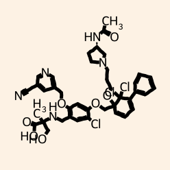 CC(=O)N[C@H]1CCN(CCCOC2(COc3cc(OCc4cncc(C#N)c4)c(CNC(C)(CO)C(=O)O)cc3Cl)C=CC=C(c3ccccc3)C2(Cl)Cl)C1